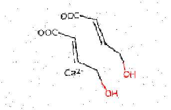 O=C([O-])C=CCO.O=C([O-])C=CCO.[Ca+2]